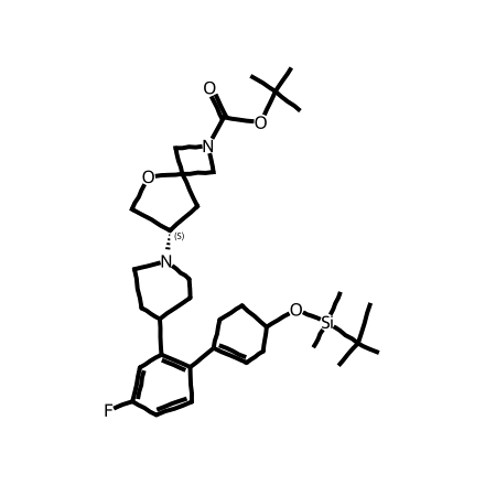 CC(C)(C)OC(=O)N1CC2(C[C@H](N3CCC(c4cc(F)ccc4C4=CCC(O[Si](C)(C)C(C)(C)C)CC4)CC3)CO2)C1